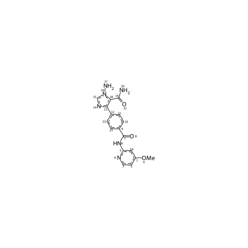 COc1ccnc(NC(=O)c2ccc(-c3ncn(N)c3C(N)=O)cc2)c1